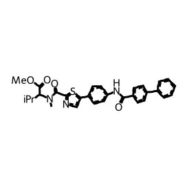 COC(=O)C(C(C)C)N(C)C(=O)c1ncc(-c2ccc(NC(=O)c3ccc(-c4ccccc4)cc3)cc2)s1